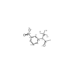 CC(=O)C(c1cncc([N+](=O)[O-])c1)[Si](C)(C)C